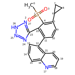 CS(=O)(=O)c1c(C2CC2)ccc(-c2cccc3ncccc23)c1-c1nn[nH]n1